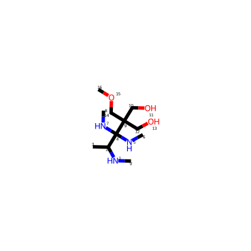 CNC(C)C(NC)(NC)C(CO)(CO)COC